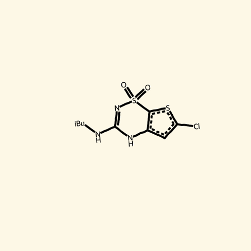 CCC(C)NC1=NS(=O)(=O)c2sc(Cl)cc2N1